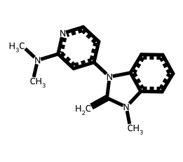 C=C1N(C)c2ccccc2N1c1ccnc(N(C)C)c1